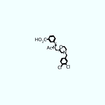 CC(=O)N(C[C@@H]1CN(Cc2ccc(Cl)c(Cl)c2)CCO1)Sc1cccc(C(=O)O)c1